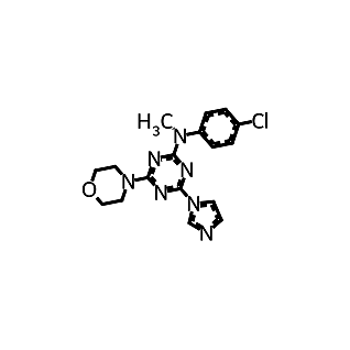 CN(c1ccc(Cl)cc1)c1nc(N2CCOCC2)nc(-n2ccnc2)n1